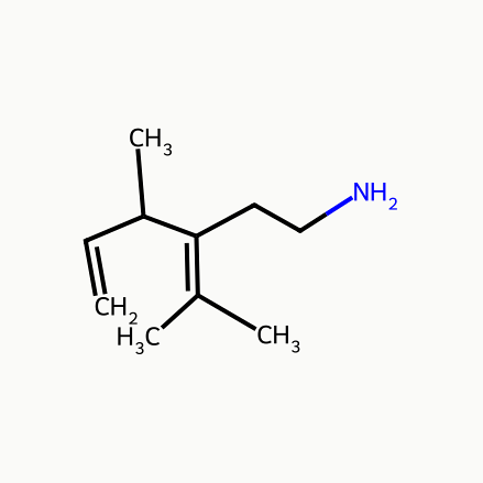 C=CC(C)C(CCN)=C(C)C